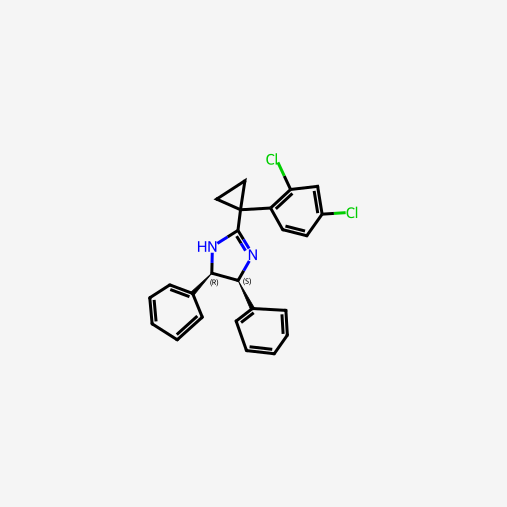 Clc1ccc(C2(C3=N[C@@H](c4ccccc4)[C@@H](c4ccccc4)N3)CC2)c(Cl)c1